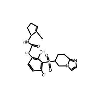 CC1=CCCC1NC(=O)Nc1ccc(Cl)c(S(=O)(=O)C2CCc3nccn3C2)c1O